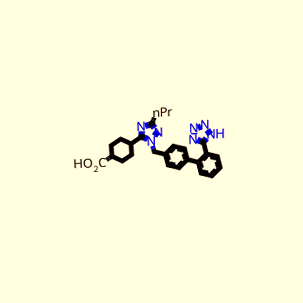 CCCc1nc(C2CCC(C(=O)O)CC2)n(Cc2ccc(-c3ccccc3-c3nnn[nH]3)cc2)n1